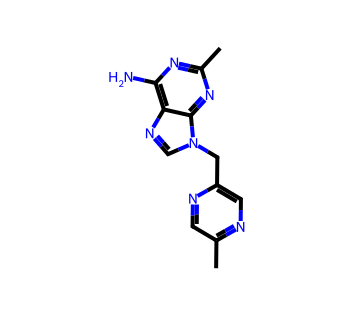 Cc1cnc(Cn2cnc3c(N)nc(C)nc32)cn1